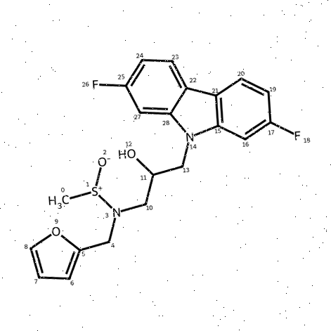 C[S+]([O-])N(Cc1ccco1)CC(O)Cn1c2cc(F)ccc2c2ccc(F)cc21